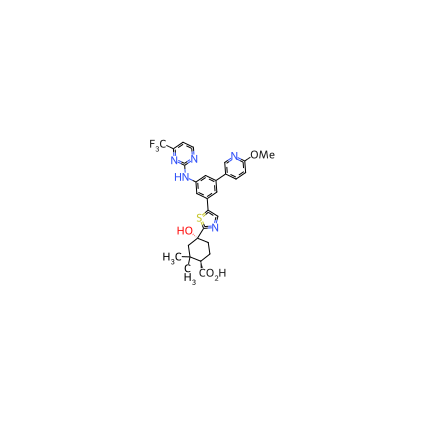 COc1ccc(-c2cc(Nc3nccc(C(F)(F)F)n3)cc(-c3cnc([C@@]4(O)CC[C@@H](C(=O)O)C(C)(C)C4)s3)c2)cn1